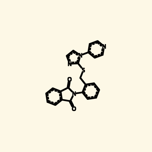 O=C1c2ccccc2C(=O)N1c1ccccc1CSc1nccn1-c1ccncc1